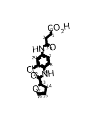 O=C(O)CCC(=O)Nc1ccc(NC(=O)C2CC=CO2)c(Cl)c1